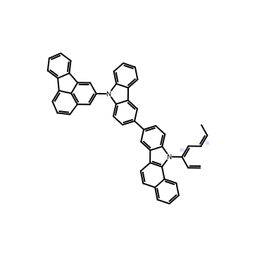 C=C/C(=C\C=C/C)n1c2ccc(-c3ccc4c(c3)c3ccccc3n4-c3cc4c5c(cccc5c3)-c3ccccc3-4)cc2c2ccc3ccccc3c21